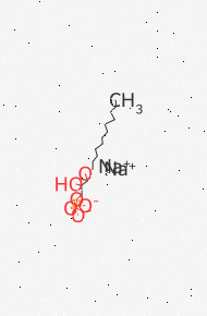 CCCCCCCCCCCCOCC(O)COP(=O)([O-])[O-].[Na+].[Na+]